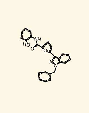 O=C(Nc1ccccc1O)c1ccc(-c2nn(Cc3ccccc3)c3ccccc23)o1